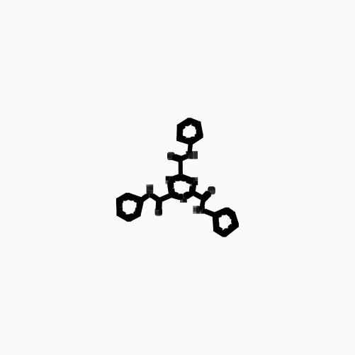 O=C(Nc1ccccc1)c1nc(C(=O)Nc2ccccc2)nc(C(=O)Nc2ccccc2)n1